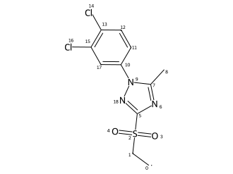 [CH2]CS(=O)(=O)c1nc(C)n(-c2ccc(Cl)c(Cl)c2)n1